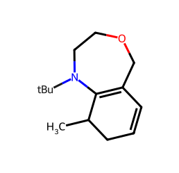 CC1CC=CC2=C1N(C(C)(C)C)CCOC2